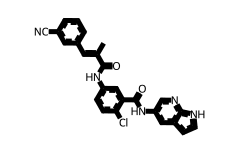 CC(=Cc1cccc(C#N)c1)C(=O)Nc1ccc(Cl)c(C(=O)Nc2cnc3[nH]ccc3c2)c1